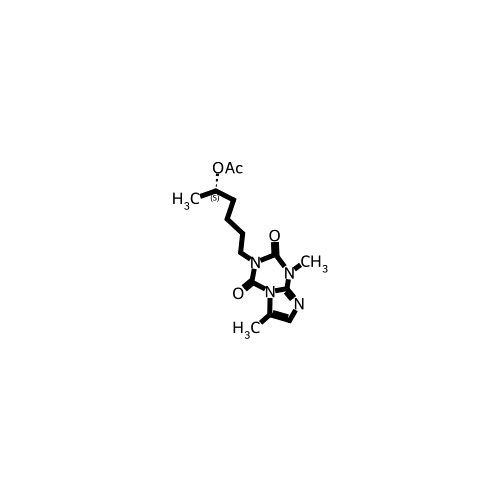 CC(=O)O[C@@H](C)CCCCn1c(=O)n(C)c2ncc(C)n2c1=O